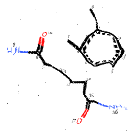 Cc1ccccc1C.NC(=O)CCCCC(N)=O